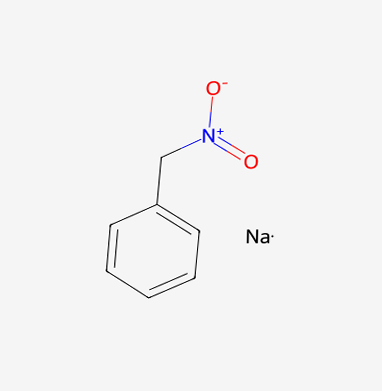 O=[N+]([O-])Cc1ccccc1.[Na]